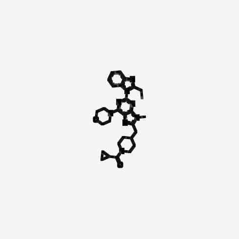 CCc1nc2ccccc2n1-c1nc(N2CCOCC2)c2nc(CC3CCN(C(=O)C4CC4)CC3)n(C)c2n1